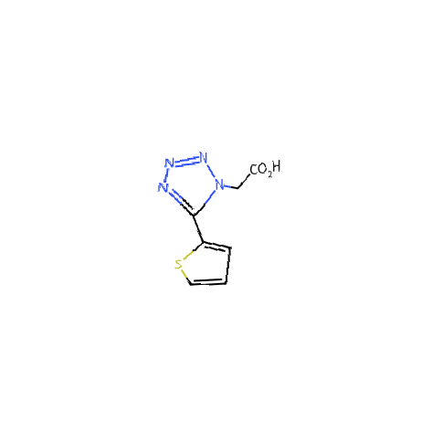 O=C(O)Cn1nnnc1-c1cccs1